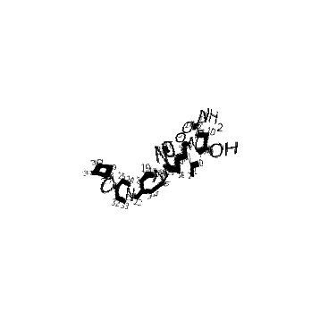 CC(C)[C@@H](C(=O)N1C[C@H](O)C[C@H]1C(N)=O)c1cc(N2CCC(CN3CCC(OC4CCC4)CC3)CC2)no1